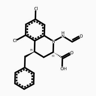 O=CNN1c2cc(Cl)cc(Cl)c2[C@H](Cc2ccccc2)C[C@H]1C(=O)O